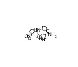 NC(=O)c1cnn2ccc3c2c1-c1ccccc1NC3c1cccc([N+](=O)[O-])c1